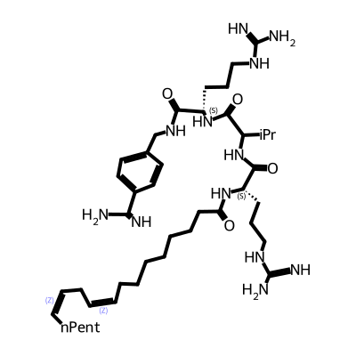 CCCCC/C=C\C/C=C\CCCCCCCC(=O)N[C@@H](CCCNC(=N)N)C(=O)NC(C(=O)N[C@@H](CCCNC(=N)N)C(=O)NCc1ccc(C(=N)N)cc1)C(C)C